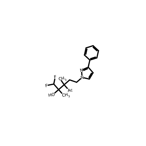 CC(=O)C(C)(CCn1ccc(-c2ccccc2)n1)C(C)(O)C(F)F